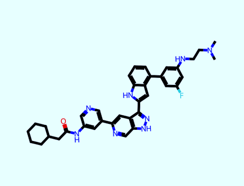 CN(C)CCNc1cc(F)cc(-c2cccc3[nH]c(-c4n[nH]c5cnc(-c6cncc(NC(=O)CC7CCCCC7)c6)cc45)cc23)c1